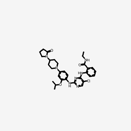 CCNC(=O)c1ccccc1Nc1nc(Nc2ccc(N3CCC(N4CCCC4=O)CC3)cc2OC(C)C)ncc1Cl